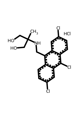 CC(CO)(CO)NCc1c2ccc(Cl)cc2c(Cl)c2ccc(Cl)cc12.Cl